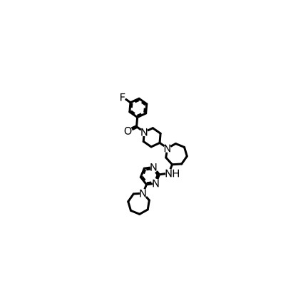 O=C(c1cccc(F)c1)N1CCC(N2CCCCC(Nc3nccc(N4CCCCCC4)n3)C2)CC1